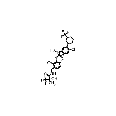 Cn1c(Nc2c(Cl)ccc(CNC(=O)C(C)(O)C(F)(F)F)c2Cl)nc2cc(Cl)c(N3CCCC(C(F)(F)F)C3)cc21